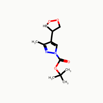 Cc1nn(C(=O)OC(C)(C)C)cc1C1BOOC1